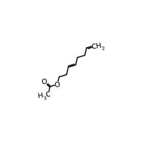 C=CCC/C=C/CCOC(C)=O